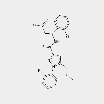 CCOc1cc(C(=O)N[C@@H](CC(=O)O)c2ccccc2Cl)nn1-c1ccccc1F